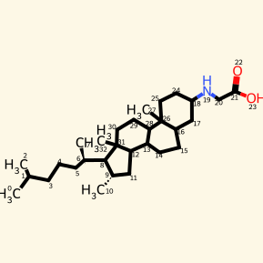 CC(C)CCC[C@@H](C)C1[C@@H](C)CC2C3CCC4CC(NCC(=O)O)CCC4(C)C3CCC21C